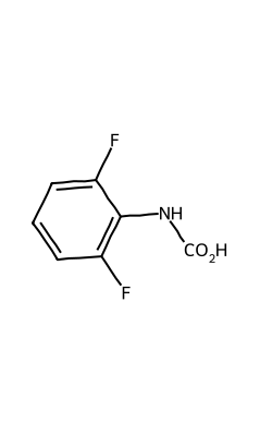 O=C(O)Nc1c(F)cccc1F